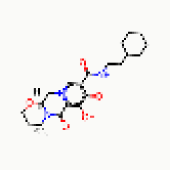 C[C@@H]1CCO[C@H]2Cn3cc(C(=O)NCCC4CCCCC4)c(=O)c(O)c3C(=O)N12